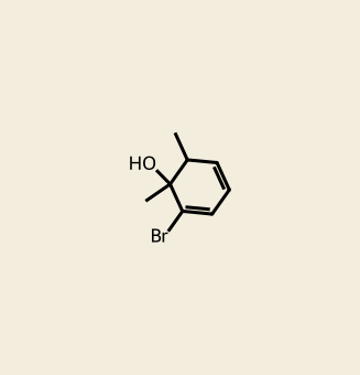 CC1C=CC=C(Br)C1(C)O